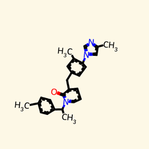 Cc1ccc(C(C)n2cccc(Cc3ccc(-n4cnc(C)c4)c(C)c3)c2=O)cc1